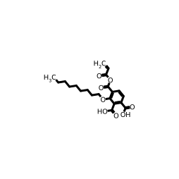 C=CC(=O)OC(=O)c1ccc(C(=O)O)c(C(=O)O)c1OCCCCCCCCC